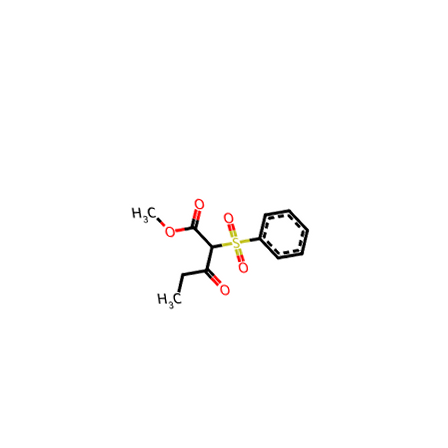 CCC(=O)C(C(=O)OC)S(=O)(=O)c1ccccc1